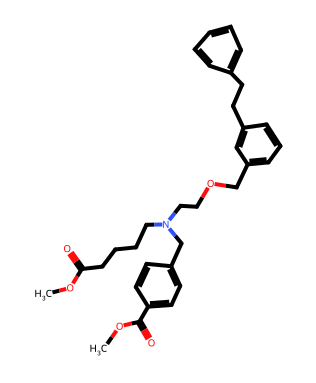 COC(=O)CCCCN(CCOCc1cccc(CCc2ccccc2)c1)Cc1ccc(C(=O)OC)cc1